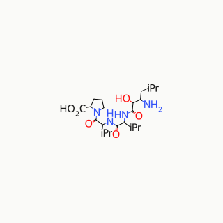 CC(C)CC(N)C(O)C(=O)NC(C(=O)NC(C(=O)N1CCCC1C(=O)O)C(C)C)C(C)C